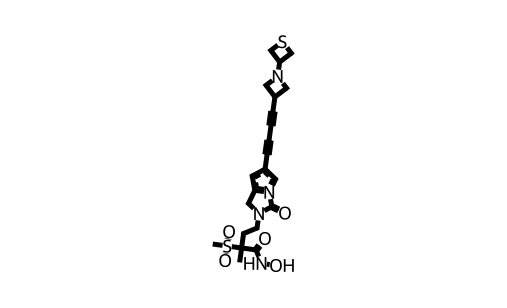 CC(CCN1Cc2cc(C#CC#CC3CN(C4CSC4)C3)cn2C1=O)(C(=O)NO)S(C)(=O)=O